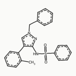 Cc1ccccc1-c1cn(Cc2ccccc2)nc1NS(=O)(=O)c1ccccc1